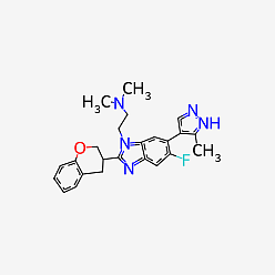 Cc1[nH]ncc1-c1cc2c(cc1F)nc(C1COc3ccccc3C1)n2CCN(C)C